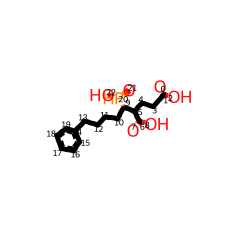 O=C(O)CCC(C(=O)O)C(CCCCc1ccccc1)[PH](=O)O